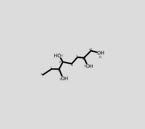 CCC(O)C(O)CC[C](O)CO